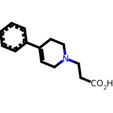 O=C(O)CCN1CC=C(c2ccccc2)CC1